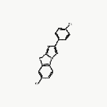 CCc1ccc(-c2cn3c(n2)sc2cc(Br)ccc23)cc1